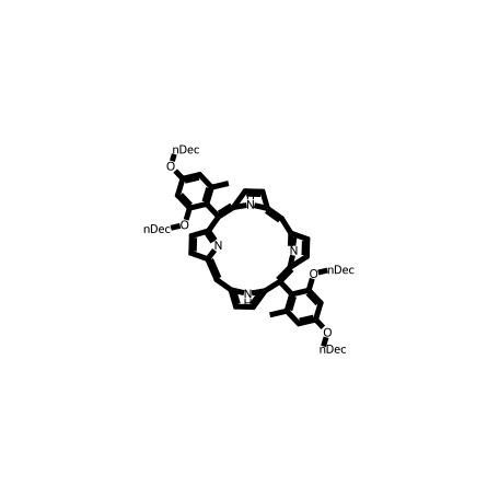 CCCCCCCCCCOc1cc(C)c(-c2c3nc(cc4ccc([nH]4)c(-c4c(C)cc(OCCCCCCCCCC)cc4OCCCCCCCCCC)c4nc(cc5ccc2[nH]5)C=C4)C=C3)c(OCCCCCCCCCC)c1